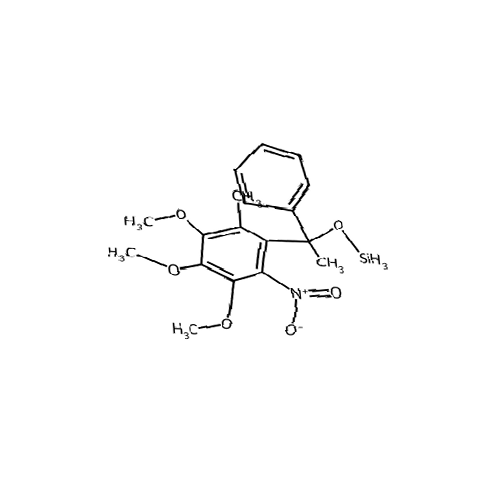 COc1c(C)c(C(C)(O[SiH3])c2ccccc2)c([N+](=O)[O-])c(OC)c1OC